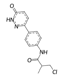 CC(CCl)C(=O)Nc1ccc(-c2ccc(=O)[nH]n2)cc1